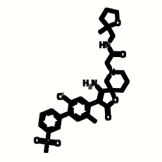 Cc1cc(-c2cccc(S(C)(=O)=O)c2)c(Cl)cc1C1=C(N)C2(CCCN(CC(=O)NCC3(C)CCCO3)C2)OC1=O